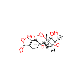 CC(C)C12O[C@H]1[C@@H]1O[C@@]13[C@@]1(C)CCC4=C(COC4=O)[C@]1(O)CO[C@]3(C)[C@@H]2O